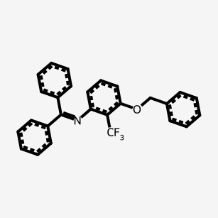 FC(F)(F)c1c(N=C(c2ccccc2)c2ccccc2)cccc1OCc1ccccc1